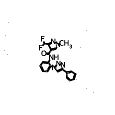 Cn1cc(C(=O)Nc2ccccc2-n2cc(-c3ccccc3)nn2)c(C(F)F)n1